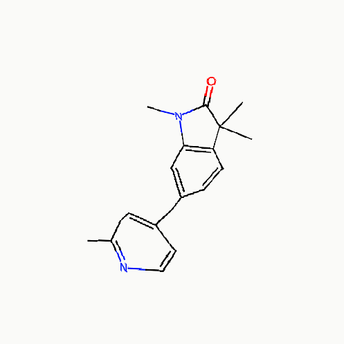 Cc1cc(-c2ccc3c(c2)N(C)C(=O)C3(C)C)ccn1